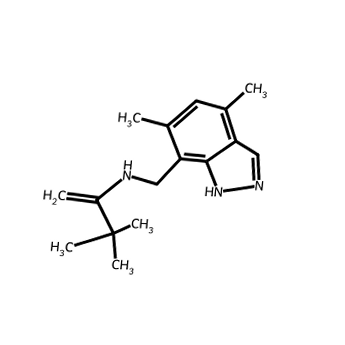 C=C(NCc1c(C)cc(C)c2cn[nH]c12)C(C)(C)C